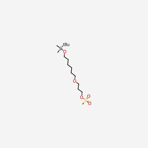 CC(C)(C)[Si](C)(C)OCCCCCCOCCCOS(C)(=O)=O